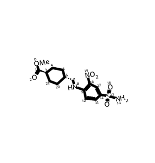 COC(=O)[C@H]1CC[C@H](CNc2ccc(S(N)(=O)=O)cc2[N+](=O)[O-])CC1